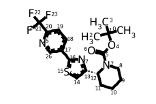 CC(C)(C)OC(=O)N1CCCC[C@@H]1c1csc(-c2ccc(C(F)(F)F)nc2)n1